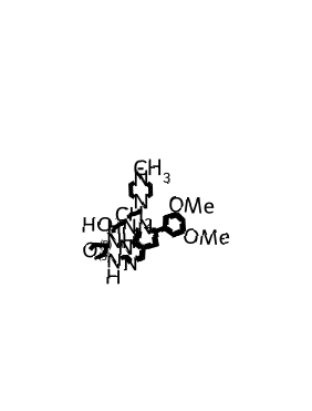 C=CC(O)N[C@H]1COC[C@H]1Nc1ncc2cc(-c3cc(OC)cc(OC)c3)nc(NCCN3CCN(C)CC3)c2n1